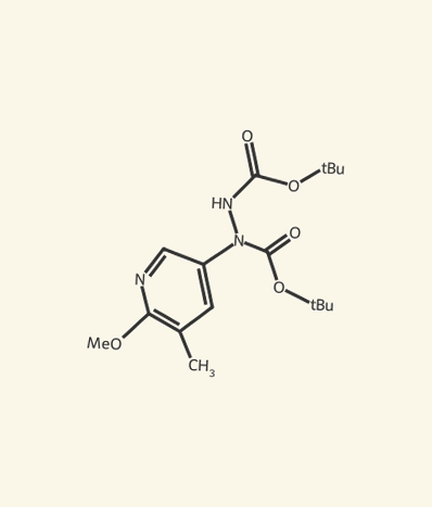 COc1ncc(N(NC(=O)OC(C)(C)C)C(=O)OC(C)(C)C)cc1C